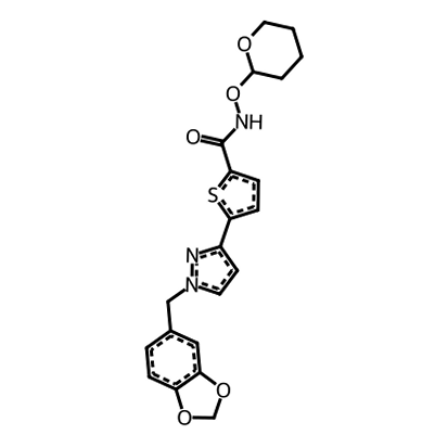 O=C(NOC1CCCCO1)c1ccc(-c2ccn(Cc3ccc4c(c3)OCO4)n2)s1